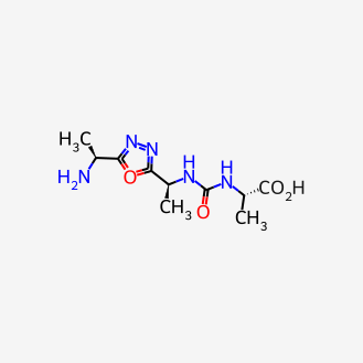 C[C@H](NC(=O)N[C@@H](C)c1nnc([C@H](C)N)o1)C(=O)O